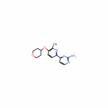 N#Cc1nc(-c2ccnc(N)n2)ccc1OC1CCOCC1